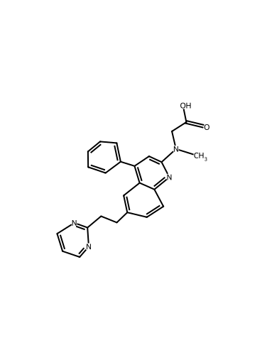 CN(CC(=O)O)c1cc(-c2ccccc2)c2cc(CCc3ncccn3)ccc2n1